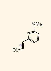 COc1cccc(/C=C/N=O)c1